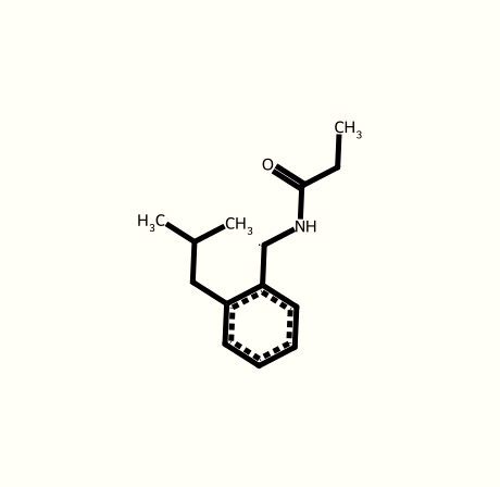 CCC(=O)N[CH]c1ccccc1CC(C)C